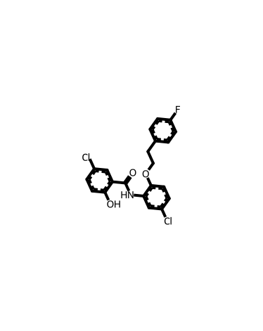 O=C(Nc1cc(Cl)ccc1OCCc1ccc(F)cc1)c1cc(Cl)ccc1O